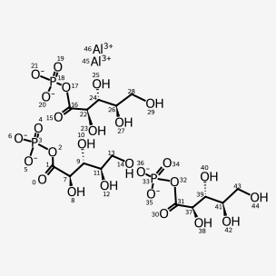 O=C(OP(=O)([O-])[O-])[C@H](O)[C@H](O)[C@H](O)CO.O=C(OP(=O)([O-])[O-])[C@H](O)[C@H](O)[C@H](O)CO.O=C(OP(=O)([O-])[O-])[C@H](O)[C@H](O)[C@H](O)CO.[Al+3].[Al+3]